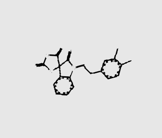 Cc1ccc(CCN2C(=O)C3(NC(=O)NC3=O)c3ccccc32)cc1C